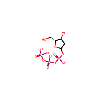 O=P(O)(O)OP(=O)(O)OP(=O)(O)OC1C[C@H](O)[C@@H](CO)O1